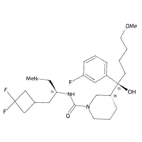 CNC[C@H](CC1CC(F)(F)C1)NC(=O)N1CCC[C@@H]([C@@](O)(CCCCOC)c2cccc(F)c2)C1